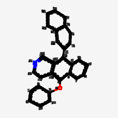 c1ccc(Oc2c3ccccc3c(-c3ccc4ccccc4c3)c3cnccc23)cc1